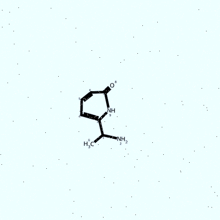 CC(N)c1cccc(=O)[nH]1